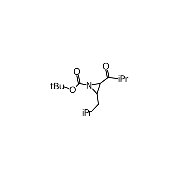 CC(C)CC1C(C(=O)C(C)C)N1C(=O)OC(C)(C)C